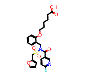 O=C(O)CCCCCOc1ccccc1CN(C(=O)c1ccc(F)nc1)S(=O)(=O)Cc1ccco1